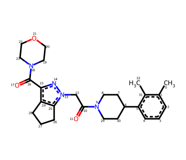 Cc1cccc(C2CCN(C(=O)Cn3nc(C(=O)N4CCOCC4)c4c3CCC4)CC2)c1C